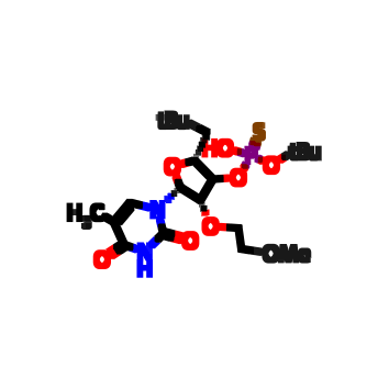 COCCO[C@H]1C(OP(O)(=S)OC(C)(C)C)[C@@H](CC(C)(C)C)O[C@H]1n1cc(C)c(=O)[nH]c1=O